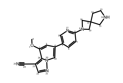 COc1cc(-c2ccc(N3CC4(CCNC4)C3)nc2)cn2ncc(C#N)c12